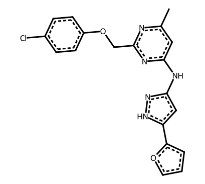 Cc1cc(Nc2cc(-c3ccco3)[nH]n2)nc(COc2ccc(Cl)cc2)n1